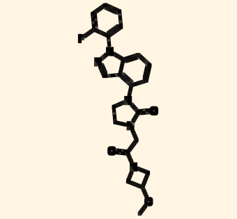 COC1CN(C(=O)CN2CCN(c3cccc4c3cnn4-c3ccccc3F)C2=O)C1